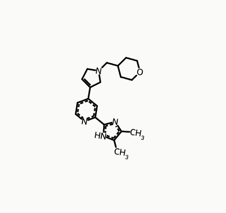 Cc1nc(-c2cc(C3=CCN(CC4CCOCC4)C3)ccn2)[nH]c1C